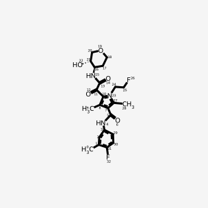 Cc1cc(NC(=O)c2c(C)c(C(=O)C(=O)N[C@@H]3CCOC[C@H]3O)n(CCF)c2C)ccc1F